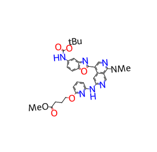 CNc1ncc(-c2nc3cc(NC(=O)OC(C)(C)C)ccc3o2)c2cc(Nc3cccc(OCCCC(=O)OC)n3)ncc12